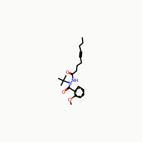 CCCC#CCCCC(=O)NN(C(=O)c1ccccc1OC)C(C)(C)C